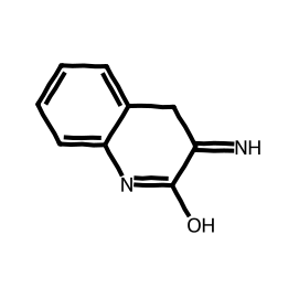 N=C1Cc2ccccc2N=C1O